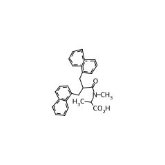 CC(C(=O)O)N(C)C(=O)C(Cc1cccc2ccccc12)Cc1cccc2ccccc12